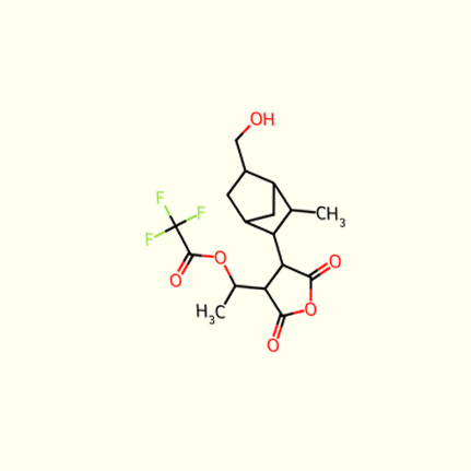 CC(OC(=O)C(F)(F)F)C1C(=O)OC(=O)C1C1C2CC(CO)C(C2)C1C